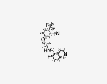 N#Cc1cc(OC2CC(NCc3c(F)ccc4cnccc34)C2)ccc1C(F)(F)F